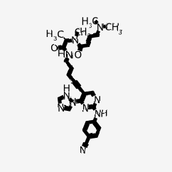 C[C@@H](C(=O)NCCCC#Cc1cnc(Nc2ccc(C#N)cc2)nc1N1C=NCN1)N(C)C(=O)/C=C/CN(C)C